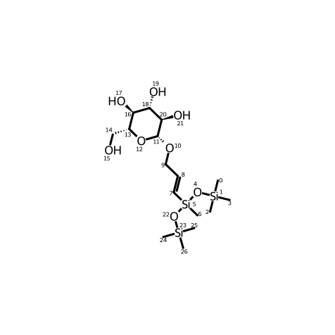 C[Si](C)(C)O[Si](C)(C=CCO[C@@H]1O[C@H](CO)[C@@H](O)[C@H](O)[C@H]1O)O[Si](C)(C)C